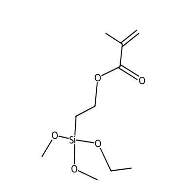 C=C(C)C(=O)OCC[Si](OC)(OC)OCC